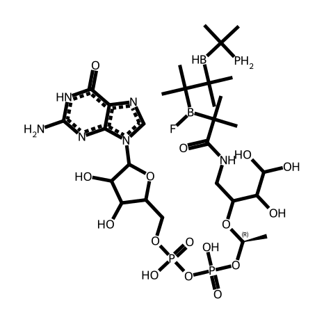 C[C@H](OC(CNC(=O)C(C)(C)B(F)C(C)(C)C(C)(C)BC(C)(C)P)C(O)C(O)O)OP(=O)(O)OP(=O)(O)OCC1OC(n2cnc3c(=O)[nH]c(N)nc32)C(O)C1O